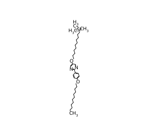 CCCCCCCCCCCCOc1ccc(-c2ncc(OCCCCCCCCCCC[Si](C)(C)CC)cn2)cc1